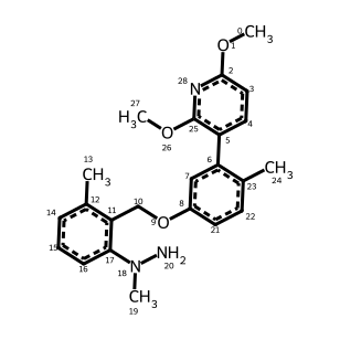 COc1ccc(-c2cc(OCc3c(C)cccc3N(C)N)ccc2C)c(OC)n1